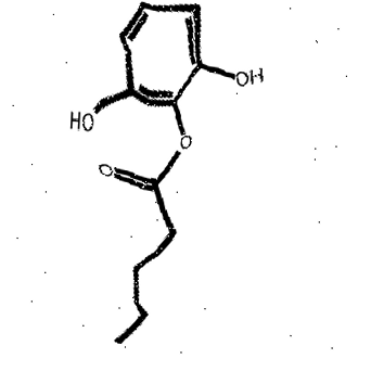 CCCCC(=O)Oc1c(O)cccc1O